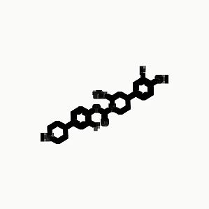 CC(C)(C)C1CC(c2ccc(O)c(F)c2)CCN1C(=O)Oc1ccc(C2CCNCC2)cc1F